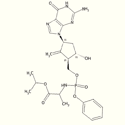 C=C1[C@H](COP(=O)(NC(C)C(=O)OC(C)C)Oc2ccccc2)[C@@H](O)C[C@@H]1n1cnc2c(=O)[nH]c(N)nc21